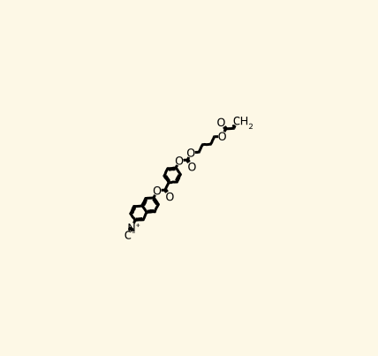 [C-]#[N+]c1ccc2cc(OC(=O)c3ccc(OC(=O)OCCCCOC(=O)C=C)cc3)ccc2c1